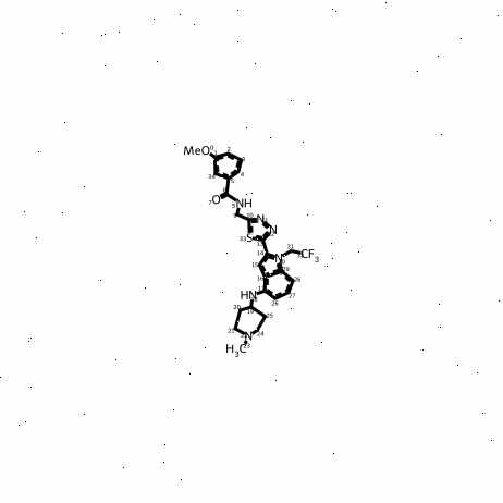 COc1cccc(C(=O)NCc2nnc(-c3cc4c(NC5CCN(C)CC5)cccc4n3CC(F)(F)F)s2)c1